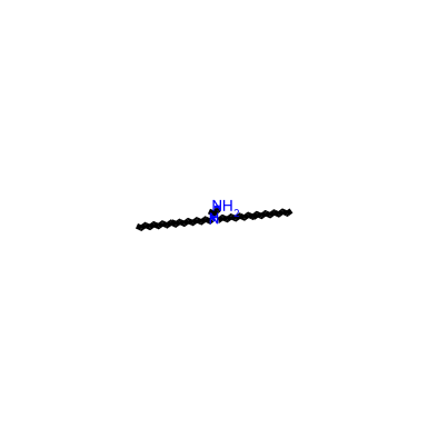 CCCCCCCCC=CCCCCCCCCN(CCCCCCCCC=CCCCCCCCC)C(C)CN